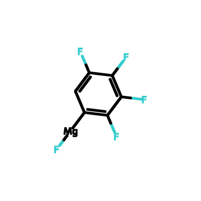 [F][Mg][c]1cc(F)c(F)c(F)c1F